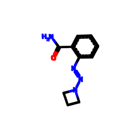 NC(=O)c1ccccc1/N=N/N1CCC1